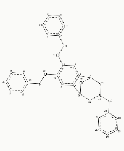 c1ccc(COc2cc3c(cc2OCc2ccccc2)C2CN(Cc4ccccc4)CC3O2)cc1